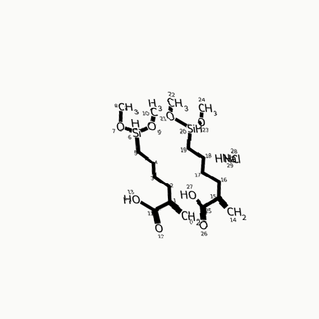 C=C(CCCC[SiH](OC)OC)C(=O)O.C=C(CCCC[SiH](OC)OC)C(=O)O.Cl.[NaH]